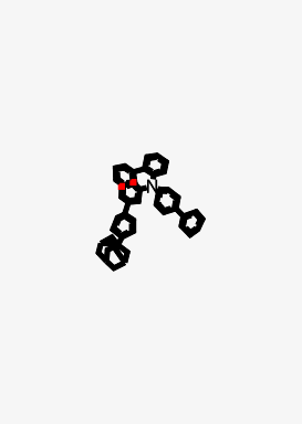 c1ccc(-c2ccc(N(c3cccc(-c4ccc(C56CC7CC(CC(C7)C5)C6)cc4)c3)c3ccccc3-c3ccccc3)cc2)cc1